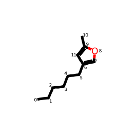 CCCCCCc1coc(C)c1